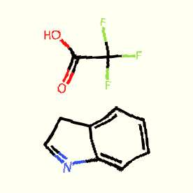 C1=Nc2ccccc2C1.O=C(O)C(F)(F)F